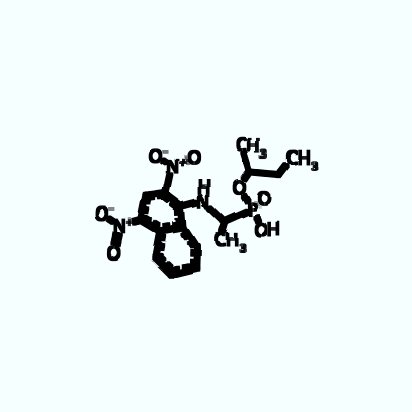 CCC(C)OP(=O)(O)C(C)Nc1c([N+](=O)[O-])cc([N+](=O)[O-])c2ccccc12